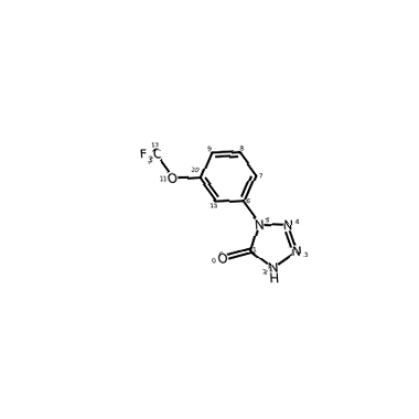 O=c1[nH]nnn1-c1cccc(OC(F)(F)F)c1